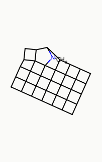 CN1C2C3CC4C5C6CC7C8C9C%10C%11CC%12C%13C%14CC%15C%16C2C2%17C%16%18C%14%15C%13%14C%12%11C%10%11C9%10C89C67C56C34C12C69C%10%17C%14%11%18